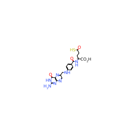 Nc1nc2ncc(CNc3ccc(C(=O)N[C@@H](CCC(=O)S)C(=O)O)cc3)nc2c(=O)[nH]1